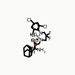 NC(=O)C12CC3CC(C1)C(NC(=O)CN1CC(F)(F)CN(c4c(Cl)cc(Cl)cc4Cl)S1(O)O)C(C3)C2